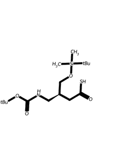 CC(C)(C)OC(=O)NC[C@@H](CO[Si](C)(C)C(C)(C)C)CC(=O)S